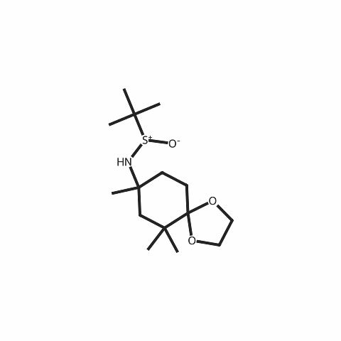 CC1(N[S+]([O-])C(C)(C)C)CCC2(OCCO2)C(C)(C)C1